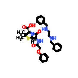 CC1(C)S[C@@H]2[C@H](NC(=O)COc3ccccc3)C(=O)N2[C@H]1C(=O)O.c1ccc(CNCCNCc2ccccc2)cc1